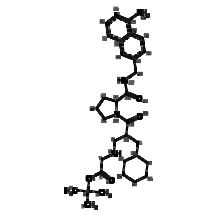 CC(C)(C)OC(=O)CNCC(CC1CCCCC1)C(=O)N1CCCC1C(=O)NCc1ccc2c(N)nccc2c1